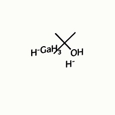 CC(C)(C)O.[GaH3].[H-].[H-]